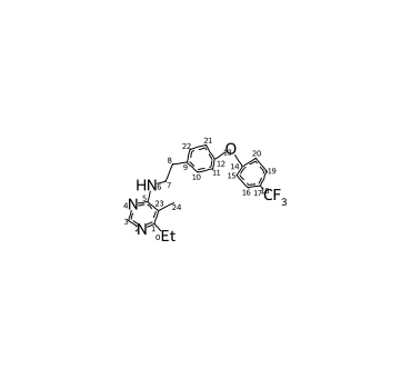 CCc1ncnc(NCCc2ccc(Oc3ccc(C(F)(F)F)cc3)cc2)c1C